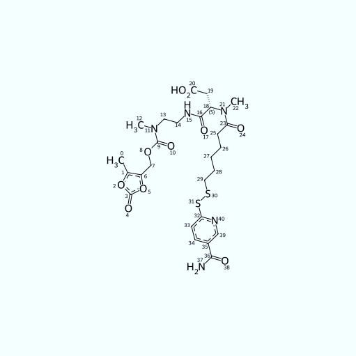 Cc1oc(=O)oc1COC(=O)N(C)CCNC(=O)[C@H](CC(=O)O)N(C)C(=O)CCCCCSSc1ccc(C(N)=O)cn1